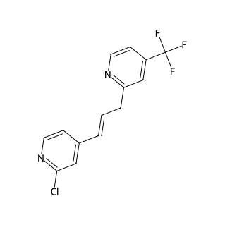 FC(F)(F)c1[c]c(CC=Cc2ccnc(Cl)c2)ncc1